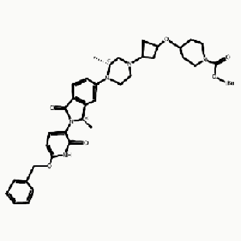 C[C@@H]1CN(C2CC(OC3CCN(C(=O)OC(C)(C)C)CC3)C2)CCN1c1ccc2c(c1)[C@@H](C)N(c1ccc(OCc3ccccc3)[nH]c1=O)C2=O